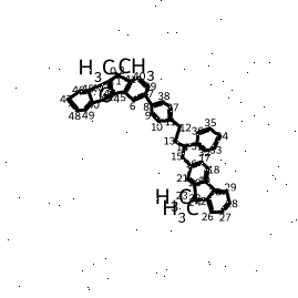 CC1(C)C2=C(c3cc(-c4ccc(CCC(Cc5ccc6c(c5)C(C)(C)c5ccccc5-6)c5ccccc5)cc4)ccc31)C1OC2c2ccccc21